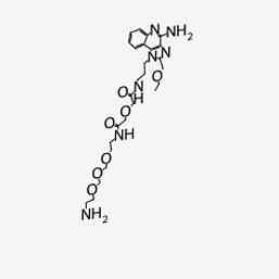 CCOCc1nc2c(N)nc3ccccc3c2n1CCCNC(=O)COCC(=O)NCCOCOCOCCN